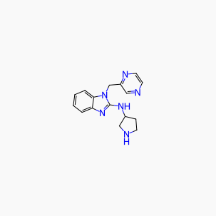 c1ccc2c(c1)nc(NC1CCNC1)n2Cc1cnccn1